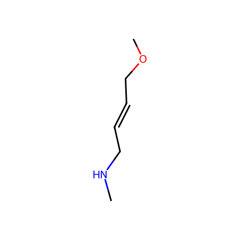 CNC/C=C/COC